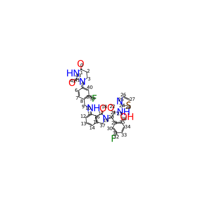 O=C1CCN(c2ccc(CNc3cccc4c3C(=O)N(C(C(=O)Nc3nccs3)c3cc(F)ccc3O)C4)c(F)c2)C(=O)N1